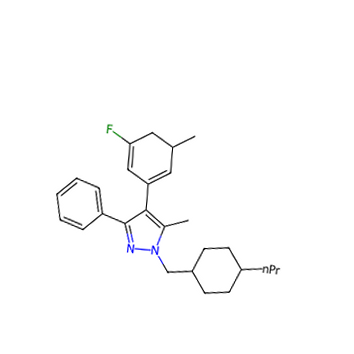 CCCC1CCC(Cn2nc(-c3ccccc3)c(C3=CC(C)CC(F)=C3)c2C)CC1